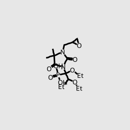 CCOC(CC)C(OCC)(N1C(=O)N(CC2CO2)C(C)(C)C1=O)P(=O)(O)O